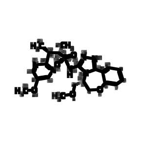 COC[C@H]1COc2ccccc2-c2nnc(NS(=O)(=O)[C@@H](C)[C@H](C)c3ncc(OC)cn3)n21